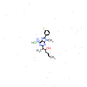 CC=CCC(O)C(C)c1nc(N)c2nc(-c3cccc(F)c3)n(C)c2n1.Cl